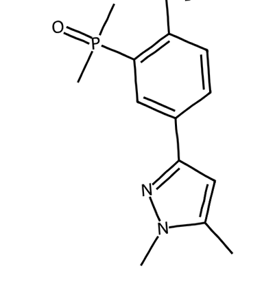 Cc1cc(-c2ccc(N)c(P(C)(C)=O)c2)nn1C